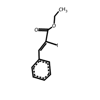 CCOC(=O)C(I)=Cc1ccccc1